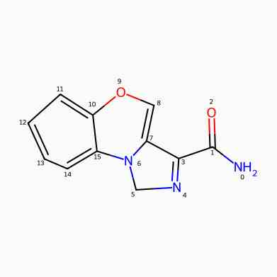 NC(=O)C1=NCN2C1=COc1ccccc12